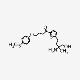 CSc1ccc(OCCCC(=O)c2ccc(CCC(C)(N)CO)s2)cc1